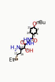 CCCCOc1ccc(C(=O)NNC(=O)C(O)[C@H](N)CCSCC)cc1